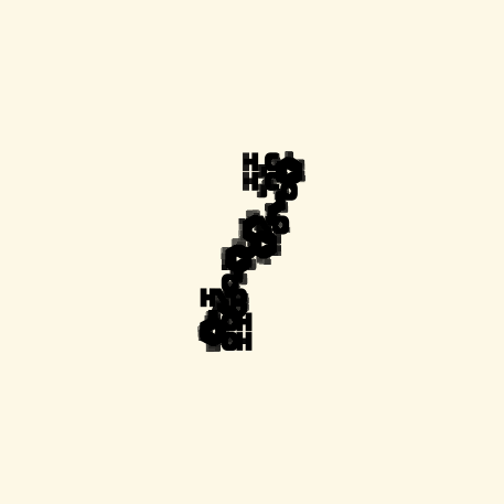 Cc1cccc(OCCCC(=O)N2CCCc3c(-c4cccc(COC(=O)N[C@@H](Cc5cccc(O)c5)C(=O)O)c4)cccc32)c1C